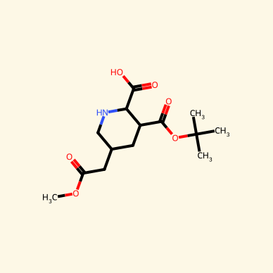 COC(=O)CC1CNC(C(=O)O)C(C(=O)OC(C)(C)C)C1